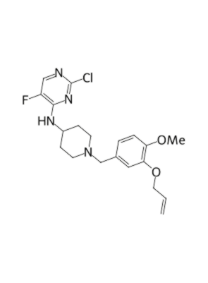 C=CCOc1cc(CN2CCC(Nc3nc(Cl)ncc3F)CC2)ccc1OC